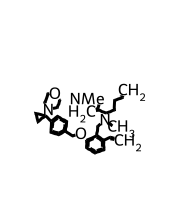 C=CCCC(C(=C)NC)N(C)Cc1c(C=C)cccc1OCc1ccc(C2(N3CCOCC3)CC2)cc1